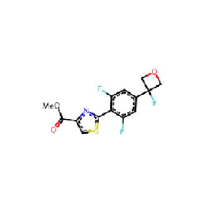 COC(=O)c1csc(-c2c(F)cc(C3(F)COC3)cc2F)n1